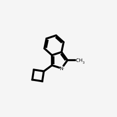 CC1=c2ccccc2=C(C2CCC2)[N]1